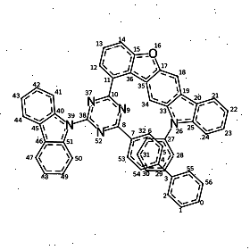 c1ccc(-c2ccc(-c3nc(-c4cccc5oc6cc7c8ccccc8n(-c8ccccc8)c7cc6c45)nc(-n4c5ccccc5c5ccccc54)n3)cc2)cc1